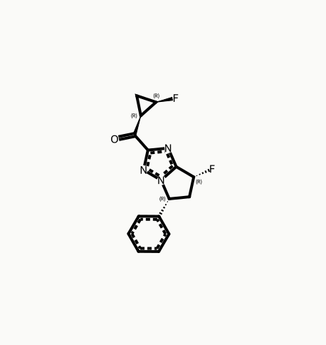 O=C(c1nc2n(n1)[C@@H](c1ccccc1)C[C@H]2F)[C@H]1C[C@H]1F